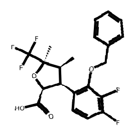 C[C@H]1[C@@H](c2ccc(F)c(F)c2OCc2ccccc2)[C@@H](C(=O)O)O[C@@]1(C)C(F)(F)F